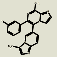 Cc1cnc2ccc(-c3c(-c4cccc(F)c4)nc(N)c4nccn34)cn12